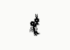 Cc1cc(NC(=O)C(=O)c2cc(C(C)c3ccc(C#N)cc3)n3ccccc23)sn1